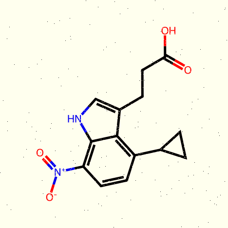 O=C(O)CCc1c[nH]c2c([N+](=O)[O-])ccc(C3CC3)c12